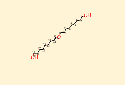 OCCCCCCCC=COC=CCCCCCCCO